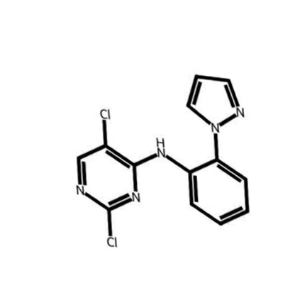 Clc1ncc(Cl)c(Nc2ccccc2-n2cccn2)n1